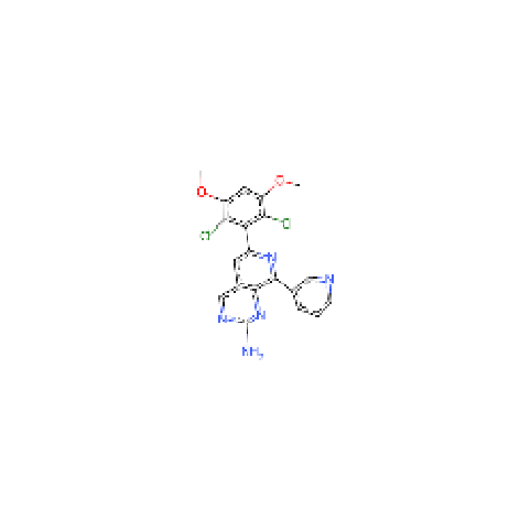 COc1cc(OC)c(Cl)c(-c2cc3cnc(N)nc3c(-c3cccnc3)n2)c1Cl